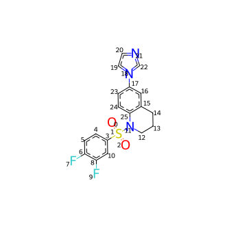 O=S(=O)(c1ccc(F)c(F)c1)N1CCCc2cc(-n3ccnc3)ccc21